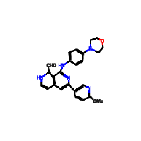 COc1ccc(-c2cc3c(c(Nc4ccc(N5CCOCC5)cc4)n2)C(C=O)NC=C3)cn1